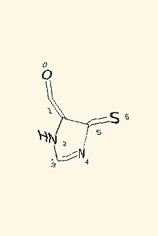 O=C1N[C]=NC1=S